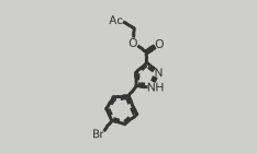 CC(=O)COC(=O)c1cc(-c2ccc(Br)cc2)[nH]n1